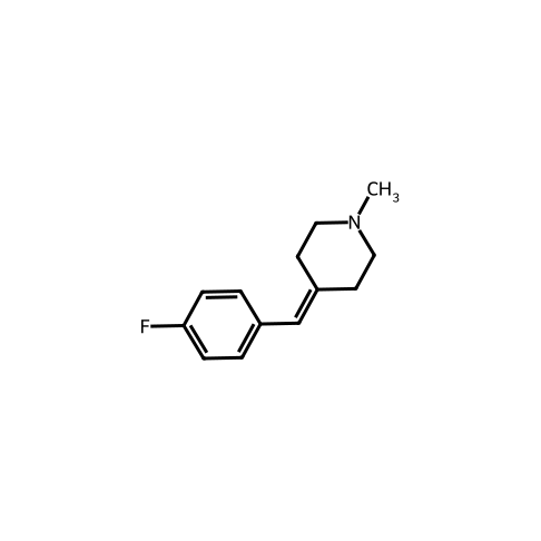 CN1CCC(=Cc2ccc(F)cc2)CC1